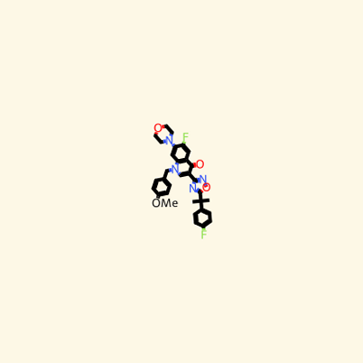 COc1ccc(Cn2cc(-c3noc(C(C)(C)c4ccc(F)cc4)n3)c(=O)c3cc(F)c(N4CCOCC4)cc32)cc1